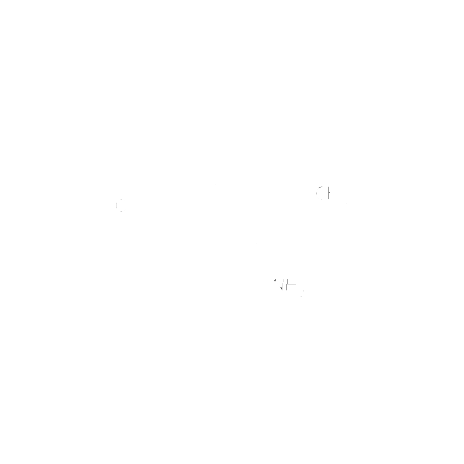 Cc1cc2coccc-2c1N